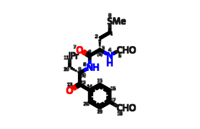 CSCC[C@H](NC=O)C(=O)N[C@@H](CC(C)C)C(=O)c1ccc(C=O)cc1